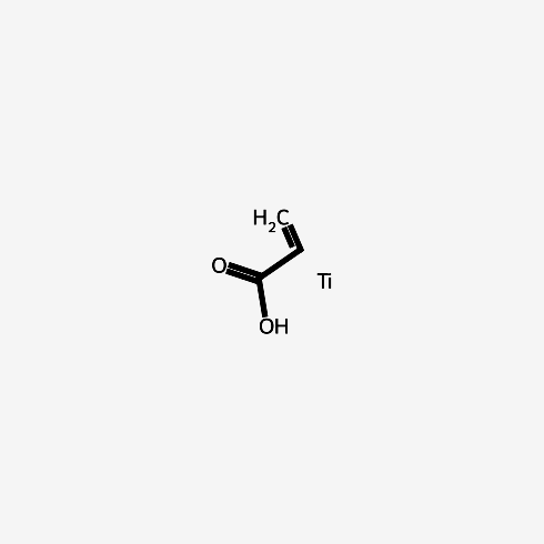 C=CC(=O)O.[Ti]